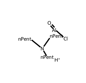 CCCCCN(CCCCC)CCCCC.[H+].[O]=[Al][Cl]